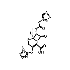 Cn1nnnc1SC1=C(C(=O)O)N2C(=O)[C@@H](NC(=O)Cn3cnnn3)[C@@H]2SC1